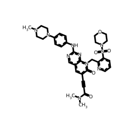 CN1CCN(c2ccc(Nc3ncc4cc(C#CC(=O)N(C)C)c(=O)n(Cc5ncccc5S(=O)(=O)N5CCOCC5)c4n3)cc2)CC1